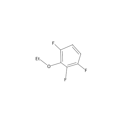 [CH2]COc1c(F)ccc(F)c1F